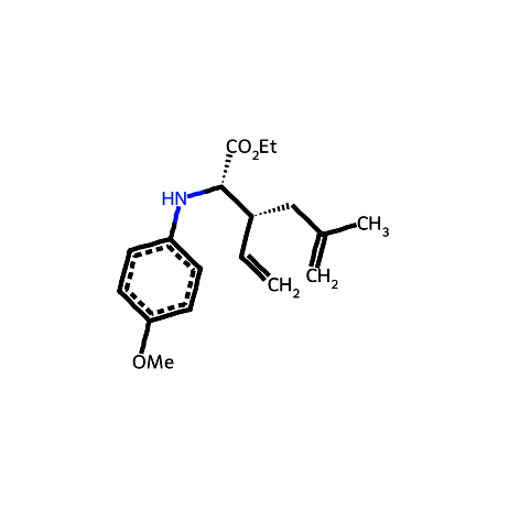 C=C[C@@H](CC(=C)C)[C@H](Nc1ccc(OC)cc1)C(=O)OCC